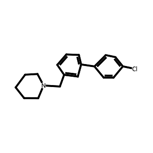 Clc1ccc(-c2cccc(CN3CCCCC3)c2)cc1